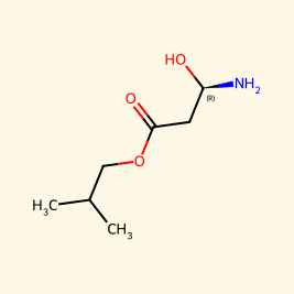 CC(C)COC(=O)C[C@H](N)O